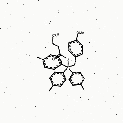 COc1ccc(CP(OC(=O)CCC(=O)O)(c2ccc(C)cc2)(c2ccc(C)cc2)c2ccc(C)cc2)cc1